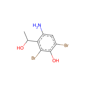 CC(O)c1c(N)cc(Br)c(O)c1Br